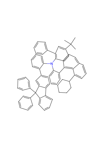 CC(C)(C)c1ccc(N(c2ccccc2-c2ccc3c(c2)C(c2ccccc2)(c2ccccc2)c2ccccc2-3)c2ccccc2-c2cccc3cccc(C4CCCCC4)c23)c(-c2ccccc2)c1